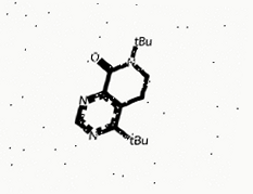 CC(C)(C)c1ncnc2c1CCN(C(C)(C)C)C2=O